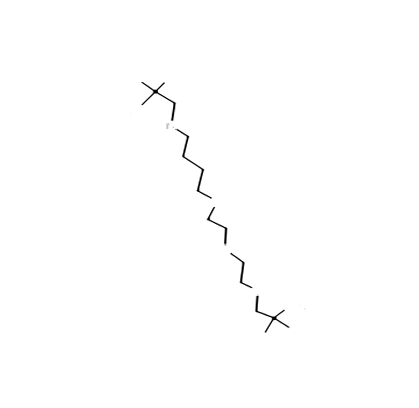 CC(C)(C)CNCCCCOCCOCCOCC(C)(C)C